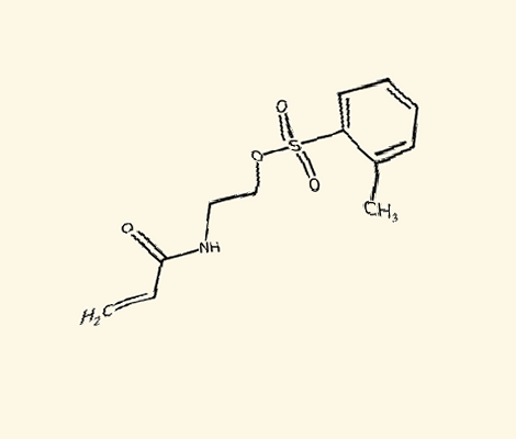 C=CC(=O)NCCOS(=O)(=O)c1ccccc1C